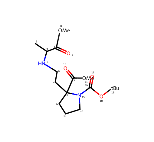 COC(=O)C(C)NCCC1(C(=O)OC)CCCN1C(=O)OC(C)(C)C